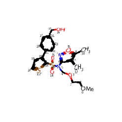 COCCOCN(c1noc(C)c1C)S(=O)(=O)c1sccc1-c1ccc(CO)cc1